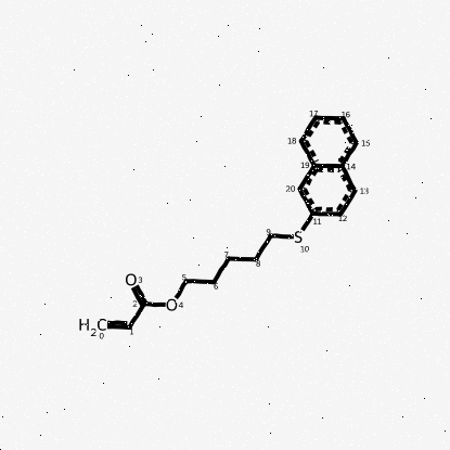 C=CC(=O)OCCCCCSc1ccc2ccccc2c1